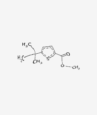 COC(=O)c1ccc(C(C)(C)C)s1